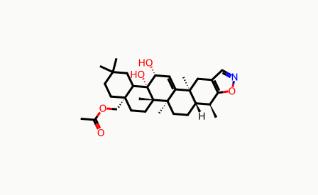 CC(=O)OC[C@]12CCC(C)(C)CC1[C@@]1(O)[C@H](O)C=C3[C@@]4(C)Cc5cnoc5[C@@H](C)[C@@H]4CC[C@@]3(C)[C@]1(C)CC2